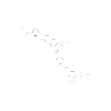 COc1cc(N=Nc2c(S(=O)(=O)O)cc3ccc(Nc4cccc(C(=O)O)c4)cc3c2O)c(OC)cc1N=Nc1ccc(N)c(S(=O)(=O)O)c1